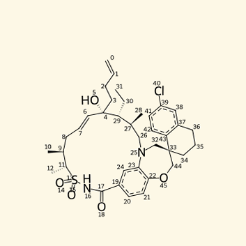 C=CCC[C@]1(O)/C=C/C[C@H](C)[C@@H](C)S(=O)(=O)NC(=O)c2ccc3c(c2)N(C[C@H](C)[C@H]1CC)C[C@@]1(CCCc2cc(Cl)ccc21)CO3